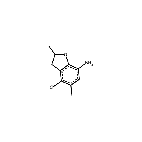 Cc1cc(N)c2c(c1Cl)CC(C)O2